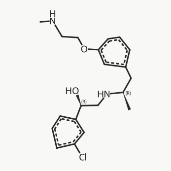 CNCCOc1cccc(C[C@@H](C)NC[C@H](O)c2cccc(Cl)c2)c1